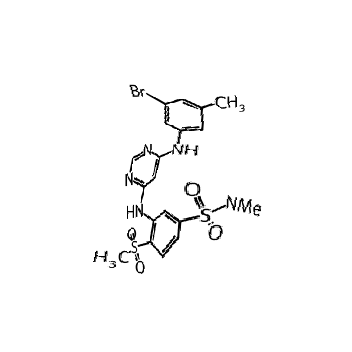 CNS(=O)(=O)c1ccc(S(C)(=O)=O)c(Nc2cc(Nc3cc(C)cc(Br)c3)ncn2)c1